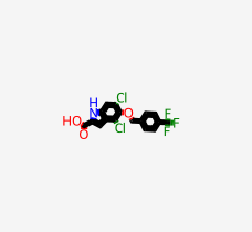 O=C(O)c1cc2c(Cl)c(OCc3ccc(C(F)(F)F)cc3)c(Cl)cc2[nH]1